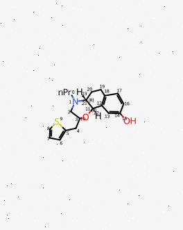 CCCN1CC(Cc2cccs2)O[C@@H]2c3cc(O)ccc3CC[C@H]21